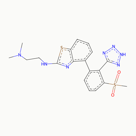 CN(C)CCNc1nc2c(-c3cccc(S(C)(=O)=O)c3-c3nn[nH]n3)cccc2s1